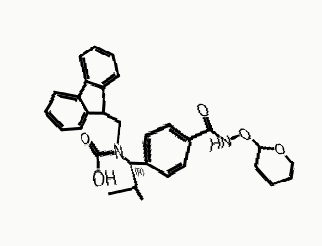 CC(C)[C@H](c1ccc(C(=O)NOC2CCCCO2)cc1)N(CC1c2ccccc2-c2ccccc21)C(=O)O